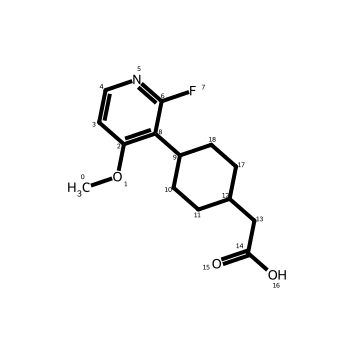 COc1ccnc(F)c1C1CCC(CC(=O)O)CC1